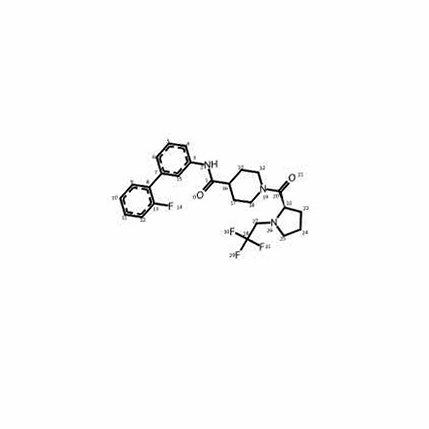 O=C(Nc1cccc(-c2ccccc2F)c1)C1CCN(C(=O)[C@H]2CCCN2CC(F)(F)F)CC1